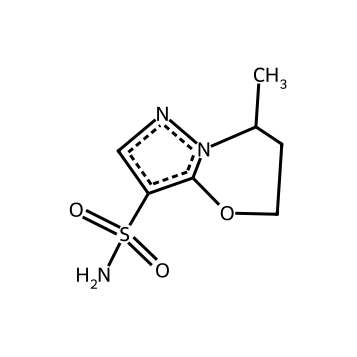 CC1CCOc2c(S(N)(=O)=O)cnn21